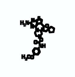 COc1ccc(NC(=O)ON2CCN(c3nc(N)nc4scc(C5=NCC6(CCCC6)O5)c34)CC2)cc1